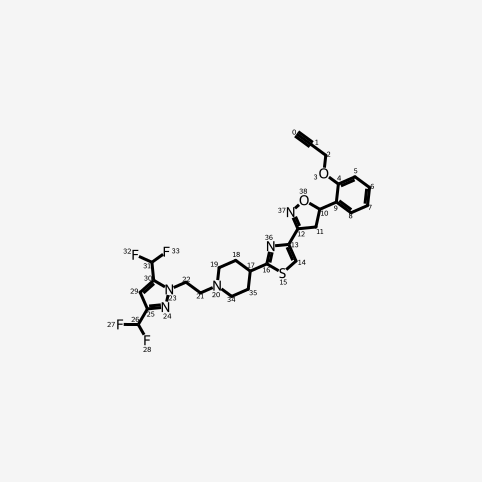 C#CCOc1ccccc1C1CC(c2csc(C3CCN(CCn4nc(C(F)F)cc4C(F)F)CC3)n2)=NO1